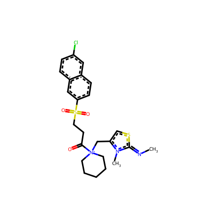 C/N=c1\scc(C[N+]2(C(=O)CCS(=O)(=O)c3ccc4cc(Cl)ccc4c3)CCCCC2)n1C